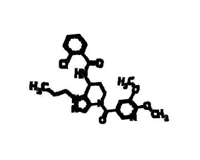 CCCn1ncc2c1C(NC(=O)c1ccccc1Cl)CCN2C(=O)c1cnc(OC)c(OC)c1